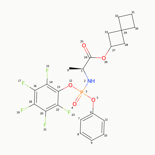 C[C@H](NP(=O)(Oc1ccccc1)Oc1c(F)c(F)c(F)c(F)c1F)C(=O)OC1CC2(CCC2)C1